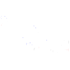 CC(C)Nc1c(C(=O)NCCC(C)(C)O)c[nH]c2c3ccc(C(N)=O)cc3nc1-2